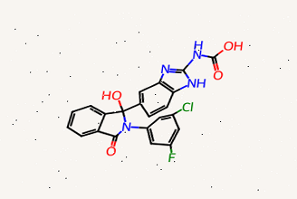 O=C(O)Nc1nc2cc(C3(O)c4ccccc4C(=O)N3c3cc(F)cc(Cl)c3)ccc2[nH]1